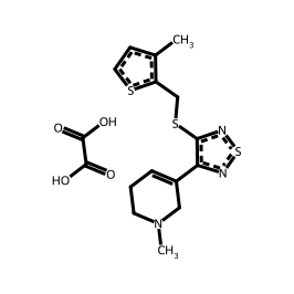 Cc1ccsc1CSc1nsnc1C1=CCCN(C)C1.O=C(O)C(=O)O